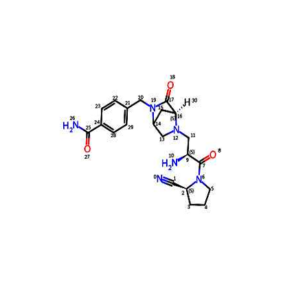 N#C[C@@H]1CCCN1C(=O)[C@@H](N)CN1CC2C[C@H]1C(=O)N2Cc1ccc(C(N)=O)cc1